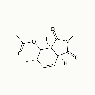 CC(=O)OC1[C@H]2C(=O)N(C)C(=O)[C@H]2C=C[C@@H]1C